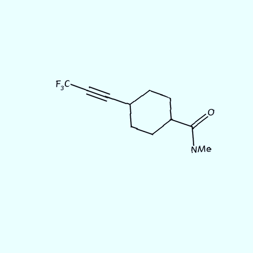 CNC(=O)C1CCC(C#CC(F)(F)F)CC1